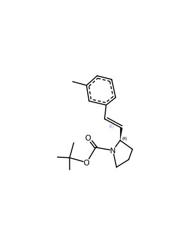 Cc1cccc(/C=C/[C@H]2CCCN2C(=O)OC(C)(C)C)c1